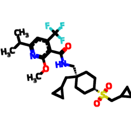 COc1nc(C(C)C)cc(C(F)(F)F)c1C(=O)NC[C@]1(CC2CC2)CC[C@H](S(=O)(=O)CC2CC2)CC1